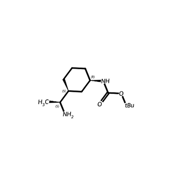 C[C@H](N)[C@H]1CCC[C@@H](NC(=O)OC(C)(C)C)C1